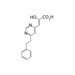 O=C(O)/C(O)=C/c1cc(CCc2ccccc2)ncn1